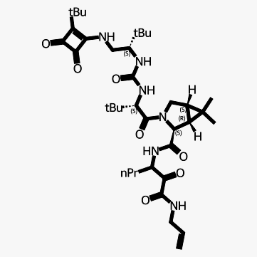 C=CCNC(=O)C(=O)C(CCC)NC(=O)[C@@H]1[C@@H]2[C@H](CN1C(=O)[C@@H](NC(=O)N[C@H](CNc1c(C(C)(C)C)c(=O)c1=O)C(C)(C)C)C(C)(C)C)C2(C)C